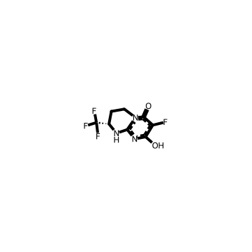 O=c1c(F)c(O)nc2n1CC[C@@H](C(F)(F)F)N2